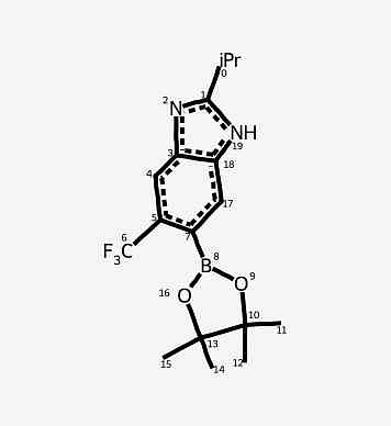 CC(C)c1nc2cc(C(F)(F)F)c(B3OC(C)(C)C(C)(C)O3)cc2[nH]1